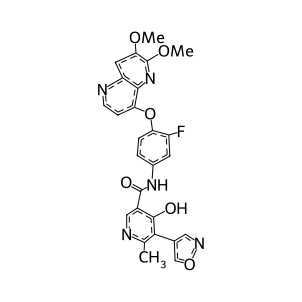 COc1cc2nccc(Oc3ccc(NC(=O)c4cnc(C)c(-c5cnoc5)c4O)cc3F)c2nc1OC